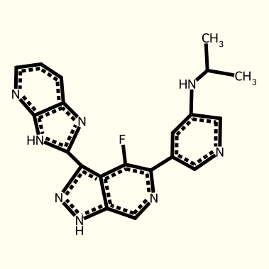 CC(C)Nc1cncc(-c2ncc3[nH]nc(-c4nc5cccnc5[nH]4)c3c2F)c1